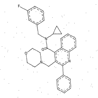 O=C(c1c(CN2CCOCC2)c(-c2ccccc2)nc2ccccc12)N(Cc1cccc(F)c1)C1CC1